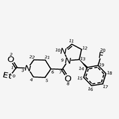 CCC(=O)N1CCC(C(=O)N2N=CC[C@H]2c2ccccc2F)CC1